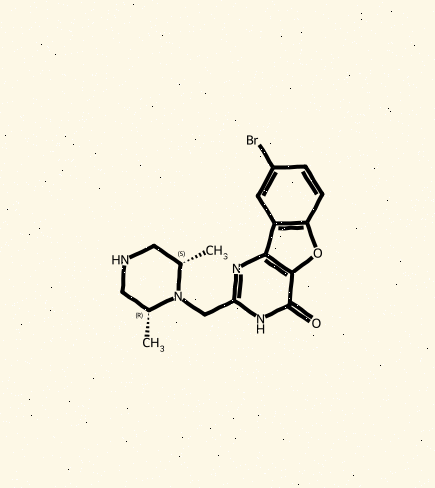 C[C@@H]1CNC[C@H](C)N1Cc1nc2c(oc3ccc(Br)cc32)c(=O)[nH]1